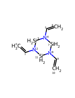 C=CN1[SiH2]N(C=C)[SiH2]N(C=C)[SiH2]1